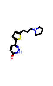 O=c1ccc(-c2ccc(CCCN3CCCC3)s2)n[nH]1